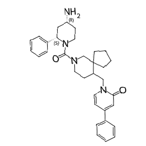 N[C@@H]1CCN(C(=O)N2CCC(Cn3ccc(-c4ccccc4)cc3=O)C3(CCCC3)C2)[C@H](c2ccccc2)C1